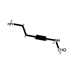 CCCCCC#CNC=O